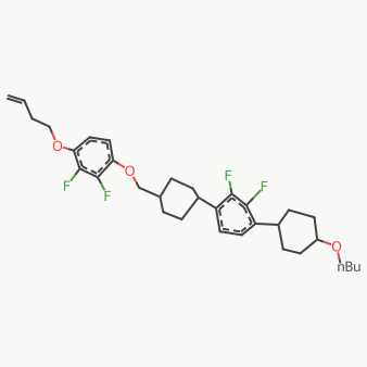 C=CCCOc1ccc(OCC2CCC(c3ccc(C4CCC(OCCCC)CC4)c(F)c3F)CC2)c(F)c1F